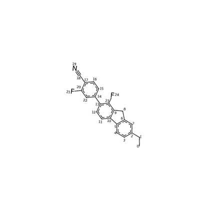 CCc1ccc2c(c1)Cc1c-2ccc(-c2ccc(C#N)c(F)c2)c1F